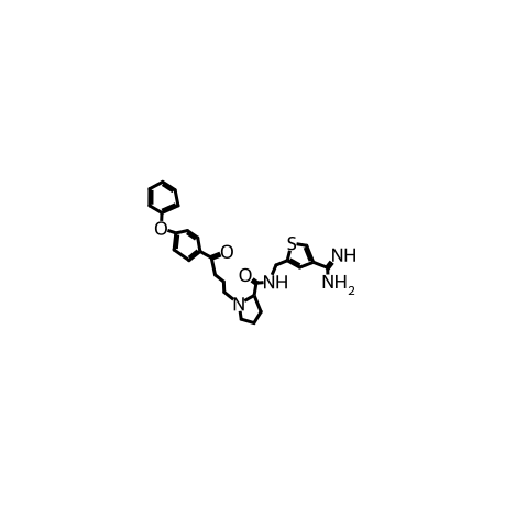 N=C(N)c1csc(CNC(=O)C2CCCN2CCCC(=O)c2ccc(Oc3ccccc3)cc2)c1